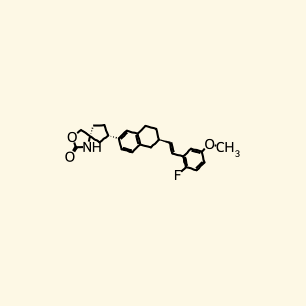 COc1ccc(F)c(C=C[C@@H]2CCc3cc([C@H]4CC[C@]5(COC(=O)N5)C4)ccc3C2)c1